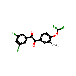 Cc1cc(C(=O)C(=O)c2cc(F)cc(F)c2)ccc1OC(F)F